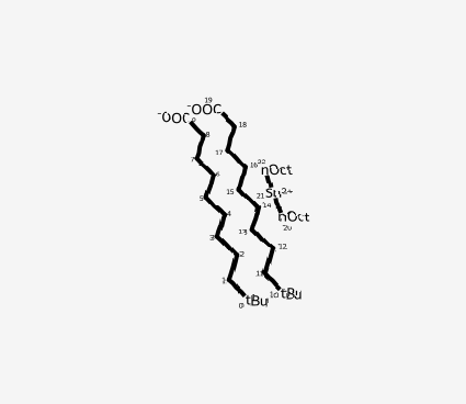 CC(C)(C)CCCCCCCCC(=O)[O-].CC(C)(C)CCCCCCCCC(=O)[O-].CCCCCCC[CH2][Sn+2][CH2]CCCCCCC